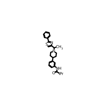 CC(C)C(=O)Nc1cccc(C2CCN(C(C)c3csc(-c4ccccc4)n3)CC2)c1